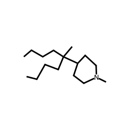 CCCCC(C)(CCCC)C1CCN(C)CC1